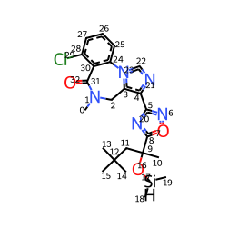 CN1Cc2c(-c3noc(C(C)(CC(C)(C)C)O[SiH](C)C)n3)ncn2-c2cccc(Cl)c2C1=O